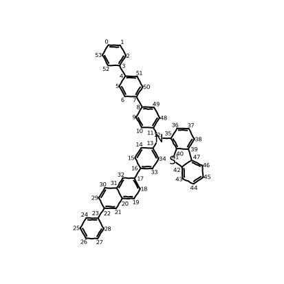 c1ccc(-c2ccc(-c3ccc(N(c4ccc(-c5ccc6cc(-c7ccccc7)ccc6c5)cc4)c4cccc5c4sc4ccccc45)cc3)cc2)cc1